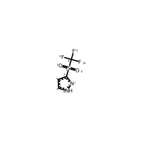 O=S(=O)(c1cc[nH]n1)C(F)(F)F